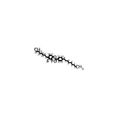 CCCCCCCCCc1ccc(C(=O)Oc2ccc(CCCCCCCC)c(F)c2F)cc1